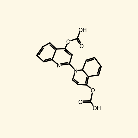 O=C(O)OC1=C2C=CC=CC2N(c2cc(OC(=O)O)c3ccccc3n2)C=C1